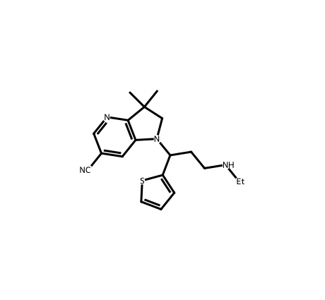 CCNCCC(c1cccs1)N1CC(C)(C)c2ncc(C#N)cc21